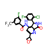 O=C(Nc1cc(C2COC2)nc2c1C(c1cc(F)ccc1Cl)NC2=O)c1cc(F)cc(C(F)(F)F)c1